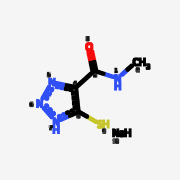 CNC(=O)c1nn[nH]c1S.[NaH]